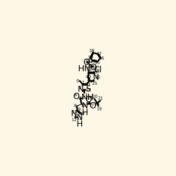 Cc1nc(NC(=O)[C@H](Cc2c[nH]cn2)NC(=O)OC(C)(C)C)sc1-c1cnc(Cl)c(NS(=O)(=O)c2ccccc2)c1